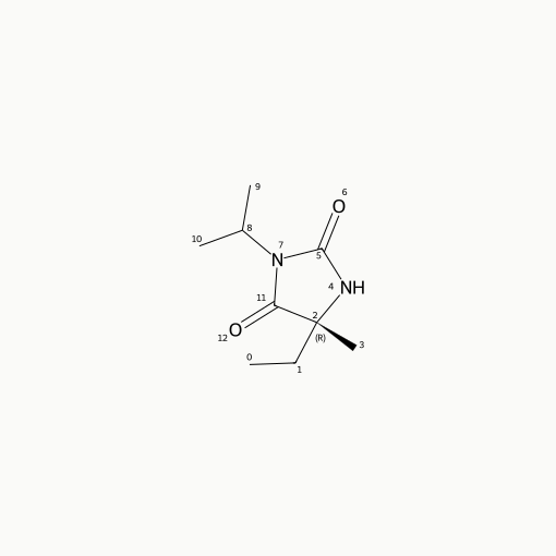 CC[C@@]1(C)NC(=O)N(C(C)C)C1=O